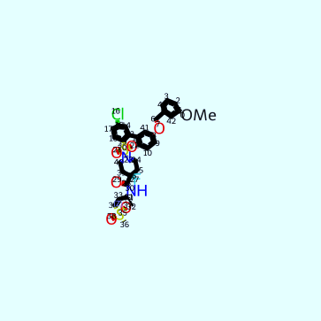 COc1cccc(COc2cccc(-c3cc(Cl)ccc3S(=O)(=O)N3CCC(F)(C(=O)N[C@@H](C)/C=C\S(C)(=O)=O)CC3)c2)c1